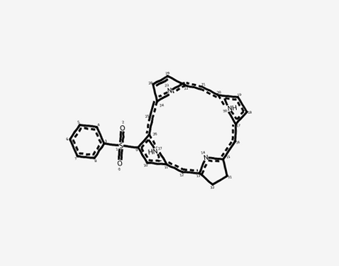 O=S(=O)(c1ccccc1)c1cc2cc3nc(cc4ccc(cc5nc(cc1[nH]2)C=C5)[nH]4)CC3